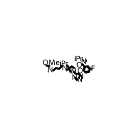 COCCN(C)CCCC(C(C)C)N1CC2(CCN(c3ncnnc3Oc3ccc(F)cc3C(=O)N(C)C(C)C)C2)C1